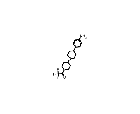 Nc1ccc(C2CCN(C3CCN(C(=O)C(F)(F)F)CC3)CC2)cc1